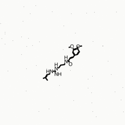 COc1ccc(/C=C/C(=O)NCCCNC(=N)NCC=C(C)C)cc1OC